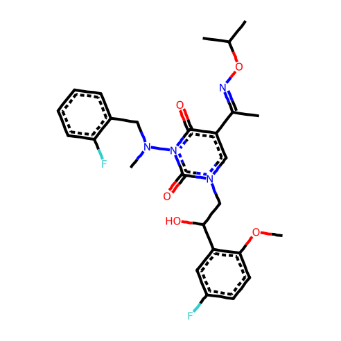 COc1ccc(F)cc1C(O)Cn1cc(/C(C)=N/OC(C)C)c(=O)n(N(C)Cc2ccccc2F)c1=O